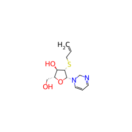 C=CCS[C@H]1[C@H](O)[C@@H](CO)O[C@H]1N1C=CC=NC1